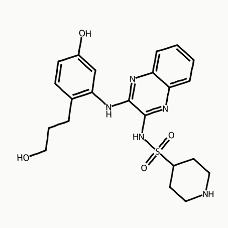 O=S(=O)(Nc1nc2ccccc2nc1Nc1cc(O)ccc1CCCO)C1CCNCC1